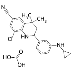 CC1(C)CC(c2cccc(NC3CC3)c2)Nc2c(Cl)cc(C#N)cc21.O=C(O)O